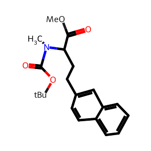 COC(=O)C(CCc1ccc2ccccc2c1)N(C)C(=O)OC(C)(C)C